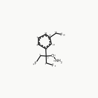 NOC(CF)(CF)c1cccc(CF)c1